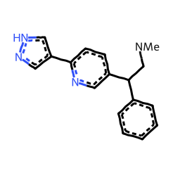 CNCC(c1ccccc1)c1ccc(-c2cn[nH]c2)nc1